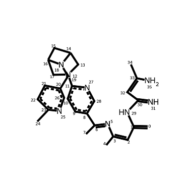 C=C(/C=C(C)\N=C(/C)c1ccc(N2CC3CC(C2)N3Cc2ccc(C)nc2)nc1)NC(=N)/C=C(/C)N